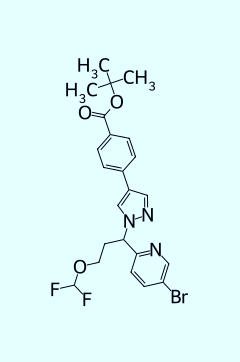 CC(C)(C)OC(=O)c1ccc(-c2cnn(C(CCOC(F)F)c3ccc(Br)cn3)c2)cc1